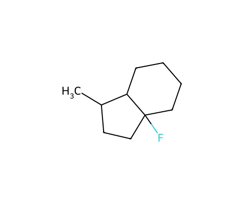 CC1CCC2(F)CCCCC12